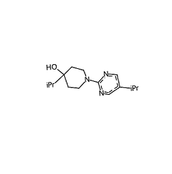 CC(C)c1cnc(N2CCC(O)(C(C)C)CC2)nc1